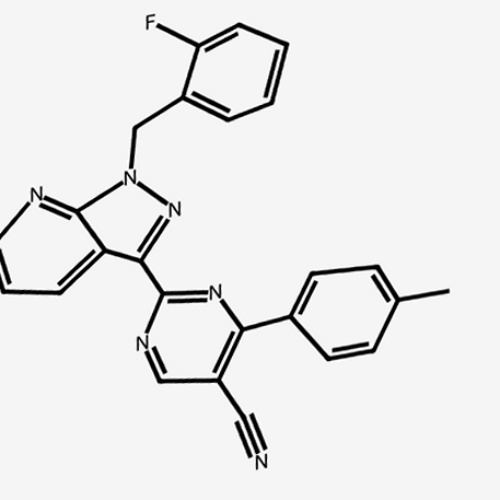 Cc1ccc(-c2nc(-c3nn(Cc4ccccc4F)c4ncccc34)ncc2C#N)cc1